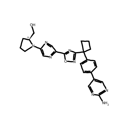 Nc1ncc(-c2ccc(C3(c4noc(-c5cnc(N6CCC[C@H]6CO)cn5)n4)CCC3)cc2)cn1